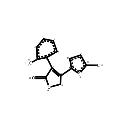 Cc1ccccc1C1=C(c2ccc(Cl)s2)COC1=O